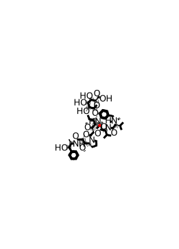 CC[C@H](C)[C@@H]([C@@H](CC(=O)N1CCC[C@H]1[C@H](OC)[C@@H](C)C(=O)N[C@H](C)[C@@H](O)c1ccccc1)OC)N(C)C(=O)[C@@H](NC(=O)[C@H](C(C)C)[N+](C)(C)Cc1ccc(O[C@@H]2O[C@H](C(=O)O)[C@@H](O)[C@H](O)[C@H]2O)c(NC(C)=O)c1)C(C)C